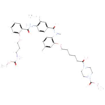 COc1cc(C(=O)N(C)c2ccc(C)cc2OCCCCCC(=O)N2CCN(C(=O)OC(C)(C)C)CC2)ccc1NC(=O)c1ccccc1OCCCNC(=O)OC(C)(C)C